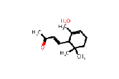 CC(=O)/C=C/C1C(C)=CCCC1(C)C.O